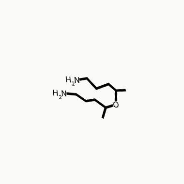 CC(CCCN)OC(C)CCCN